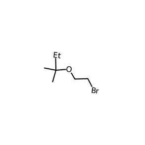 CCC(C)(C)OCCBr